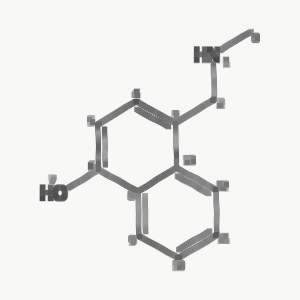 CNCc1ccc(O)c2ccccc12